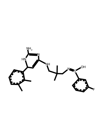 Cc1cccc(C2C=C(NCC(C)(C)C/N=S(/O)c3cccc(F)c3)N=C(N)N2)c1C